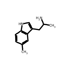 Cc1ccc2[nH]cc(CC(C)N)c2c1